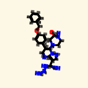 N=NNC(=N)c1cnn2c(N3CCNC(=O)C3)c(-c3ccc(OCc4ccccc4)cc3)cnc12